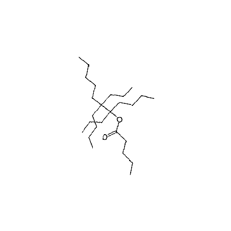 CCCCCC(CCC)(CCCC)C(CCC)(CCCC)OC(=O)CCCC